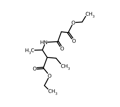 CCOC(=O)CC(=O)NC(C)C(CC)C(=O)OCC